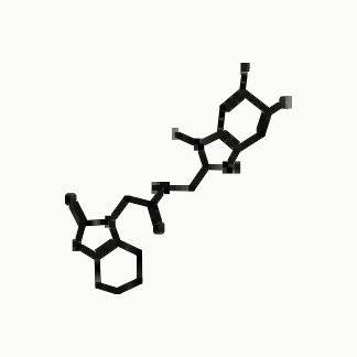 O=C(Cn1c2c(sc1=O)CCCC2)NCC1Nc2cc(Cl)c(F)cc2N1I